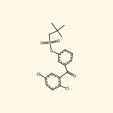 CC(C)(C)CS(=O)(=O)Oc1cccc(C(=O)c2cc(Cl)ccc2Cl)c1